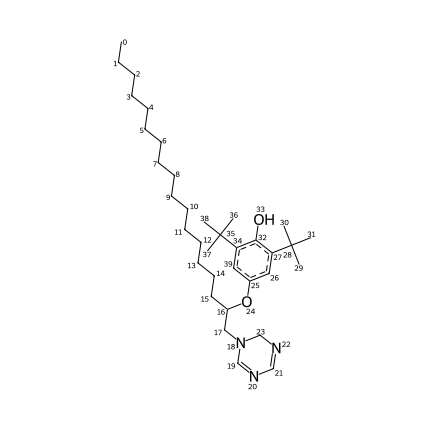 CCCCCCCCCCCCCCCCC(CN1C=NC=NC1)Oc1cc(C(C)(C)C)c(O)c(C(C)(C)C)c1